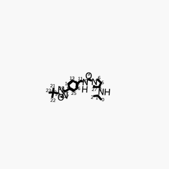 CC(C)N[C@H]1CCN(C(=O)NCc2ccc(-c3noc(C(C)(C)C)n3)cc2)C1